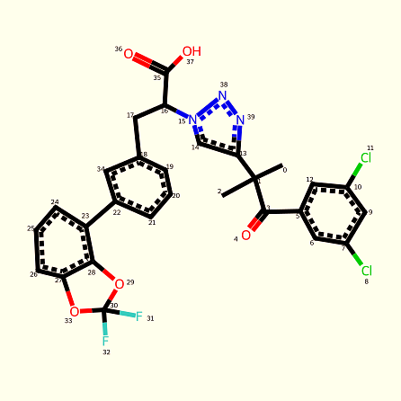 CC(C)(C(=O)c1cc(Cl)cc(Cl)c1)c1cn(C(Cc2cccc(-c3cccc4c3OC(F)(F)O4)c2)C(=O)O)nn1